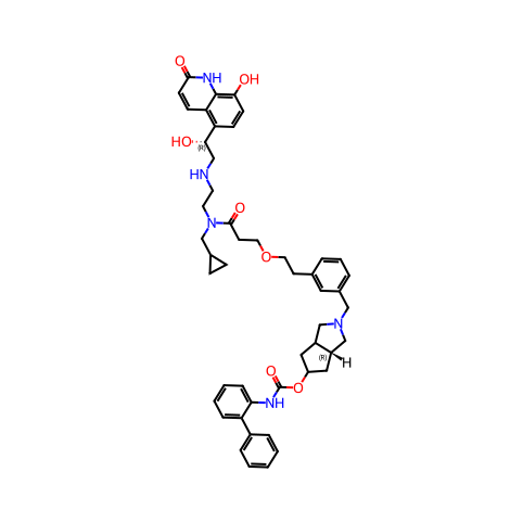 O=C(Nc1ccccc1-c1ccccc1)OC1CC2CN(Cc3cccc(CCOCCC(=O)N(CCNC[C@H](O)c4ccc(O)c5[nH]c(=O)ccc45)CC4CC4)c3)C[C@@H]2C1